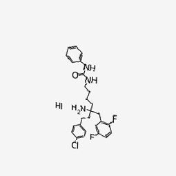 I.NC(CCCCNC(=O)Nc1ccccc1)(CCc1ccc(Cl)cc1)Cc1cc(F)ccc1F